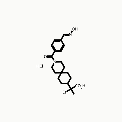 CCC(C)(C(=O)O)C1CCC2(CC1)CCN(C(=O)c1ccc(C=NO)cc1)CC2.Cl